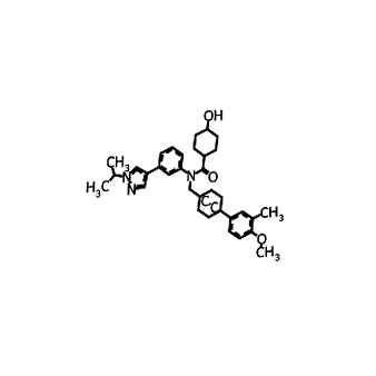 COc1ccc(C23CCC(CN(C(=O)C4CCC(O)CC4)c4cccc(-c5cnn(C(C)C)c5)c4)(CC2)CC3)cc1C